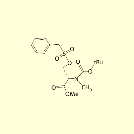 COC(=O)[C@H](COS(=O)(=O)Cc1ccccc1)N(C)C(=O)OC(C)(C)C